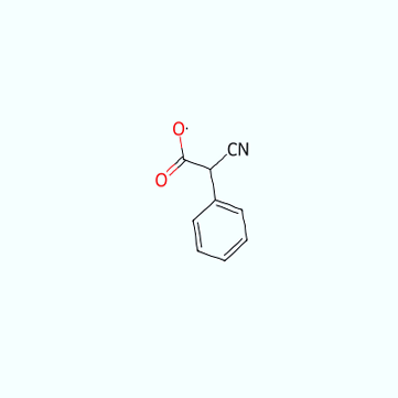 N#CC(C([O])=O)c1ccccc1